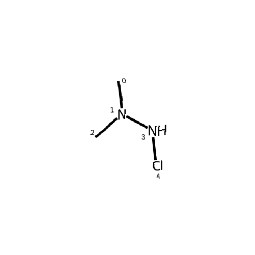 CN(C)NCl